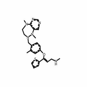 CNC/C=C(\Oc1ccc(CN2CCN(C)c3ncncc3N2C)c(C)c1)c1cccs1